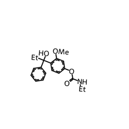 CCNC(=O)Oc1ccc(C(O)(CC)c2ccccc2)c(OC)c1